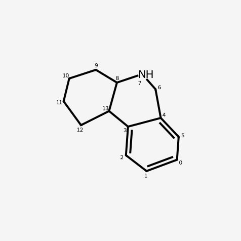 c1ccc2c(c1)CNC1CCCCC21